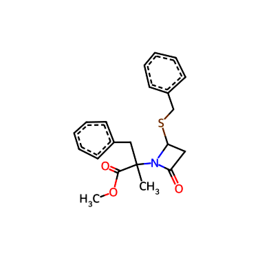 COC(=O)C(C)(Cc1ccccc1)N1C(=O)CC1SCc1ccccc1